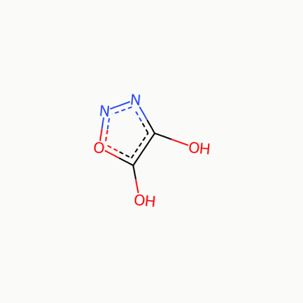 Oc1nnoc1O